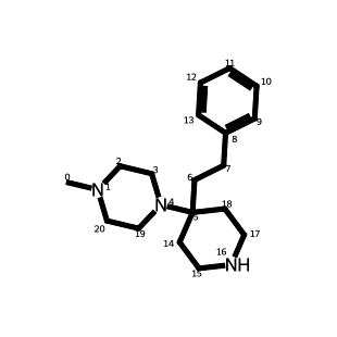 CN1CCN(C2(CCc3ccccc3)CCNCC2)CC1